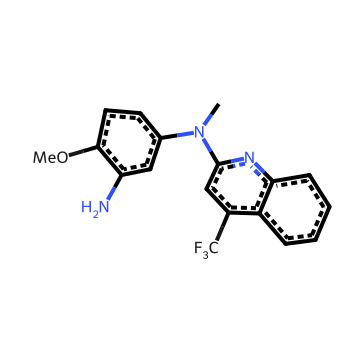 COc1ccc(N(C)c2cc(C(F)(F)F)c3ccccc3n2)cc1N